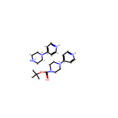 CC(C)(C)OC(=O)N1CCN(c2ccncc2)CC1.c1cc(N2CCNCC2)ccn1